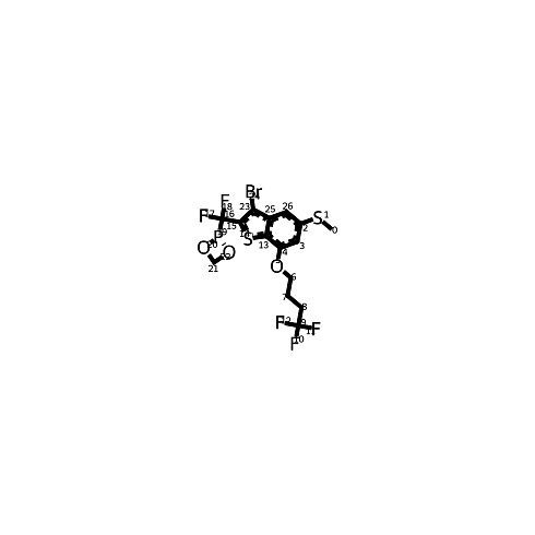 CSc1cc(OCCCC(F)(F)F)c2sc(C(F)(F)P3OCO3)c(Br)c2c1